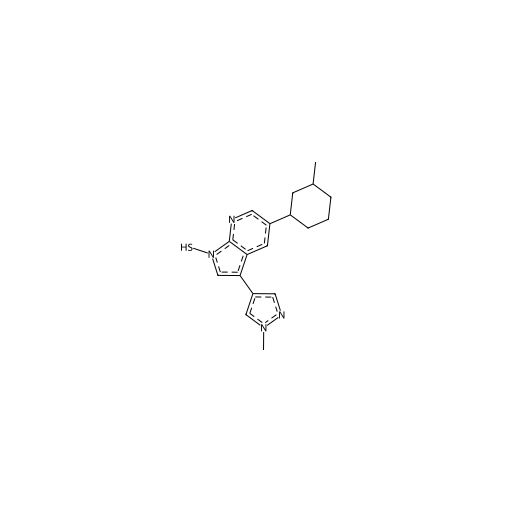 CC1CCCC(c2cnc3c(c2)c(-c2cnn(C)c2)cn3S)C1